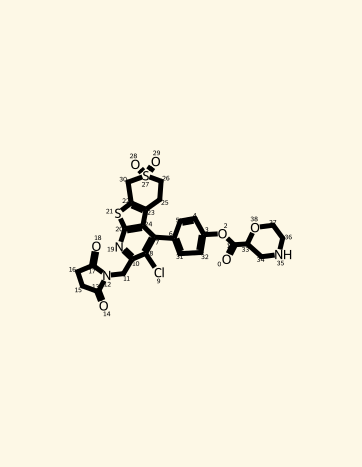 O=C(Oc1ccc(-c2c(Cl)c(CN3C(=O)CCC3=O)nc3sc4c(c23)CCS(=O)(=O)C4)cc1)C1CNCCO1